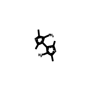 Cc1sc(C)c(-c2c(C)sc(C)c2P)c1P